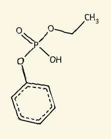 CCOP(=O)(O)Oc1ccccc1